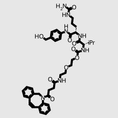 CC(C)[C@H](NC(=O)OCCOCCNC(=O)CCC(=O)N1Cc2ccccc2C#Cc2ccccc21)C(=O)N[C@@H](CCCNC(N)=O)C(=O)Nc1ccc(CO)cc1